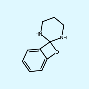 c1ccc2c(c1)OC21NCCCN1